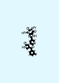 CCCn1c(=O)c2[nH]c(-c3ccc(OC(c4cccc(F)c4)C4CNC(=O)C4)nc3)nc2n(CCC)c1=O